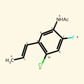 C/C=C/c1cc(NC(C)=O)c(F)cc1Cl